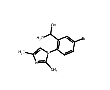 Cc1cn(-c2ccc(Br)cc2C(C)C#N)c(C)n1